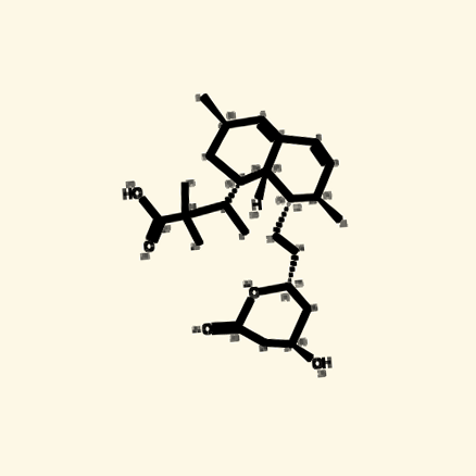 CC([C@@H]1C[C@@H](C)C=C2C=C[C@@H](C)[C@H](CC[C@@H]3C[C@@H](O)CC(=O)O3)[C@@H]21)C(C)(C)C(=O)O